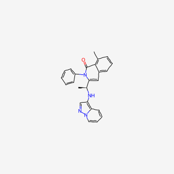 Cc1cccc2cc([C@H](C)Nc3cnn4ccccc34)n(-c3ccccc3)c(=O)c12